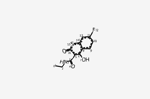 [CH2]CNC(=O)c1c(O)c2ccc(F)cc2sc1=O